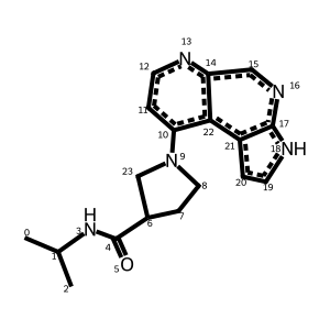 CC(C)NC(=O)C1CCN(c2ccnc3cnc4[nH]ccc4c23)C1